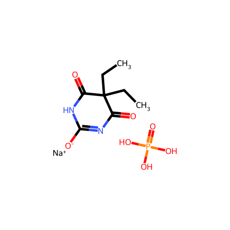 CCC1(CC)C(=O)N=C([O-])NC1=O.O=P(O)(O)O.[Na+]